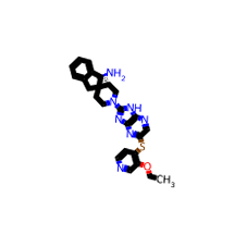 CCOc1cnccc1Sc1cnc2[nH]c(N3CCC4(CC3)Cc3ccccc3[C@H]4N)nc2n1